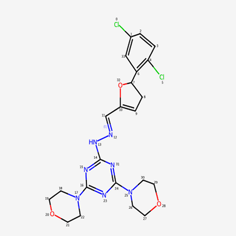 Clc1ccc(Cl)c(C2CC=C(/C=N/Nc3nc(N4CCOCC4)nc(N4CCOCC4)n3)O2)c1